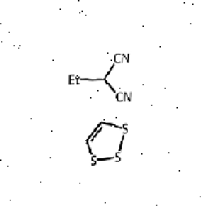 C1=CSSS1.CCC(C#N)C#N